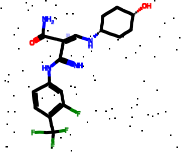 N=C(Nc1ccc(C(F)(F)F)c(F)c1)/C(=C\N[C@H]1CC[C@@H](O)CC1)C(N)=O